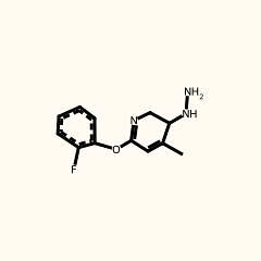 CC1=CC(Oc2ccccc2F)=NCC1NN